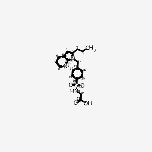 CCCc1cc2cccnc2n1Cc1ccc(S(=O)(=O)NCC(=O)O)cc1